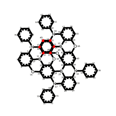 c1ccc(N2c3cccc4c3B3c5c(cccc52)Oc2c3c(cc3c2B2c5c(cccc5N(c5ccccc5)c5cc6c7c(c52)Oc2cccc5c2B7c2c(cccc2N5c2ccccc2)O6)N3c2ccccc2)O4)cc1